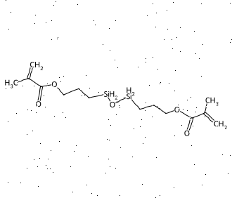 C=C(C)C(=O)OCCC[SiH2]O[SiH2]CCCOC(=O)C(=C)C